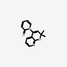 CC1(C)C=C(n2ccccc2=O)c2cccnc2O1